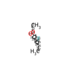 CCCCOC(=O)c1ccc(-c2ccc(CCCC)cc2F)cc1